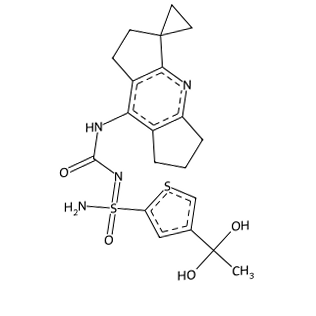 CC(O)(O)c1csc(S(N)(=O)=NC(=O)Nc2c3c(nc4c2CCC42CC2)CCC3)c1